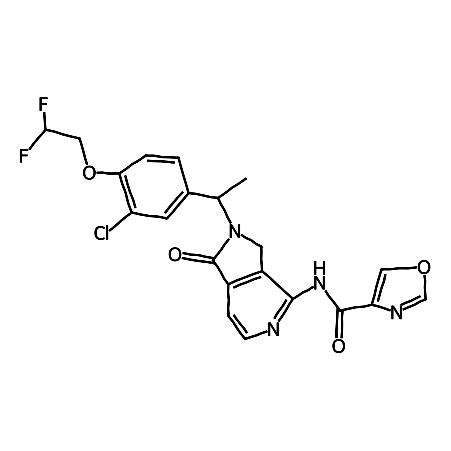 CC(c1ccc(OCC(F)F)c(Cl)c1)N1Cc2c(ccnc2NC(=O)c2cocn2)C1=O